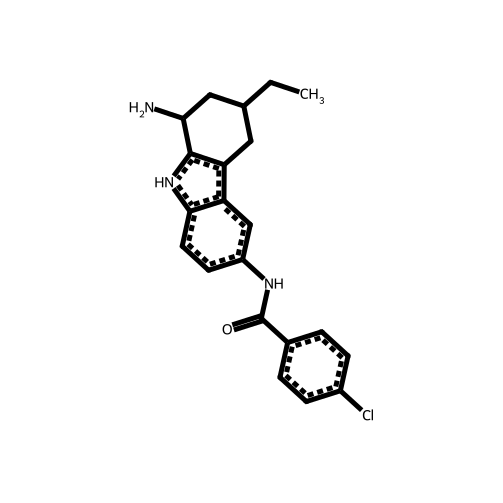 CCC1Cc2c([nH]c3ccc(NC(=O)c4ccc(Cl)cc4)cc23)C(N)C1